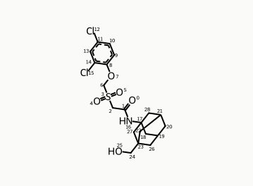 O=C(CS(=O)(=O)COc1ccc(Cl)cc1Cl)NC12CC3CC(CC(CO)(C3)C1)C2